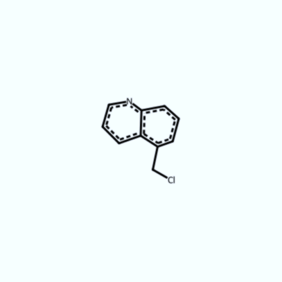 ClCc1cccc2ncccc12